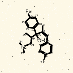 CC(=Cc1ccc(F)cc1)C(O)(c1ccc(F)cc1)C(C)CN(C)C